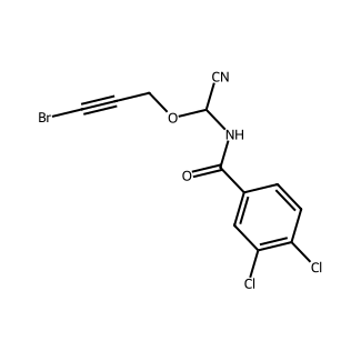 N#CC(NC(=O)c1ccc(Cl)c(Cl)c1)OCC#CBr